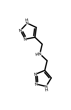 c1[nH]nnc1CNCc1c[nH]nn1